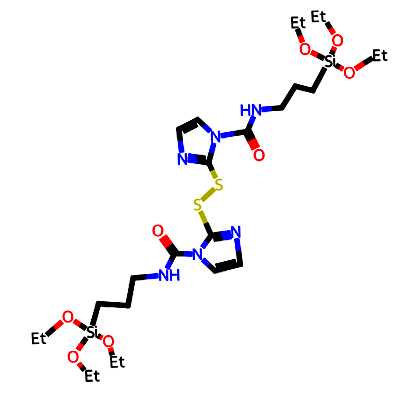 CCO[Si](CCCNC(=O)n1ccnc1SSc1nccn1C(=O)NCCC[Si](OCC)(OCC)OCC)(OCC)OCC